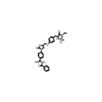 CCOC(=O)C(Cc1ccc(OCC2CN(c3ccc(C(=N)NC(=O)c4ccccc4)cc3)C(=O)O2)cc1)NS(C)(=O)=O